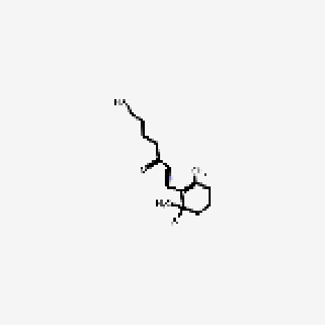 CCCCCC(=O)/C=C/C1=C(C)CCCC1(C)C